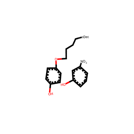 CCCCCCCCCCCCCCOc1ccc(O)cc1.O=[N+]([O-])c1cccc(O)c1